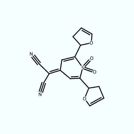 N#CC(C#N)=C1C=C(C2CC=CO2)S(=O)(=O)C(C2CC=CO2)=C1